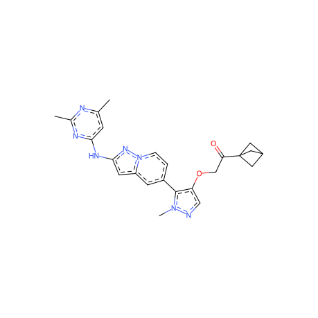 Cc1cc(Nc2cc3cc(-c4c(OCC(=O)C56CC(C5)C6)cnn4C)ccn3n2)nc(C)n1